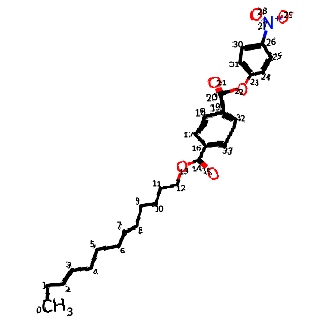 CCCCCCCCCCCCCOC(=O)c1ccc(C(=O)Oc2ccc([N+](=O)[O-])cc2)cc1